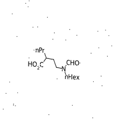 CCCCCCN([C]=O)CCC(CCC)C(=O)O